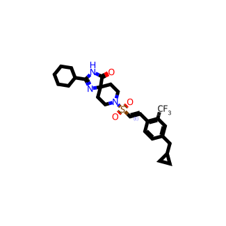 O=C1NC(C2CCCCC2)=NC12CCN(S(=O)(=O)/C=C/c1ccc(CC3CC3)cc1C(F)(F)F)CC2